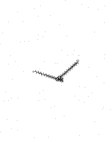 CCCCCC=CCC=CCCCCCCCCOC(CN(C)C)OCCCCCCCCC=CCC=CCCCCC